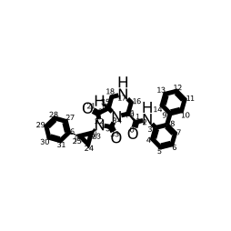 O=C(Nc1ccccc1-c1ccccc1)[C@@H]1CNC[C@H]2C(=O)N([C@H]3C[C@@H]3c3ccccc3)C(=O)N12